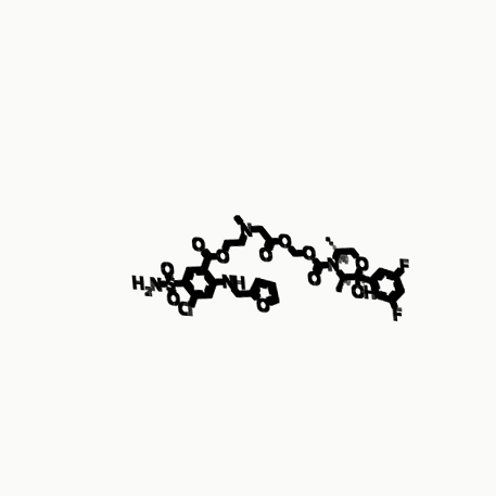 C[C@@H]1CO[C@](O)(c2cc(F)cc(F)c2)[C@@H](C)N1C(=O)OCOC(=O)CN(C)CCOC(=O)c1cc(S(N)(=O)=O)c(Cl)cc1NCc1ccco1